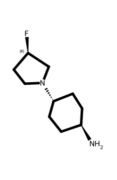 N[C@H]1CC[C@H](N2CC[C@@H](F)C2)CC1